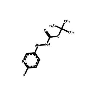 CC(C)(C)OC(=O)NNc1ccc(F)nc1